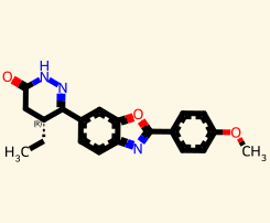 CC[C@@H]1CC(=O)NN=C1c1ccc2nc(-c3ccc(OC)cc3)oc2c1